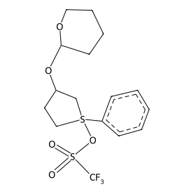 O=S(=O)(OS1(c2ccccc2)CCC(OC2CCCCO2)C1)C(F)(F)F